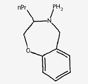 CCCC1COc2ccccc2CN1P